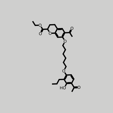 CCCc1c(OCCCCCCOc2cc3c(cc2C(C)=O)CCC(C(=O)OCC)O3)ccc(C(C)=O)c1O